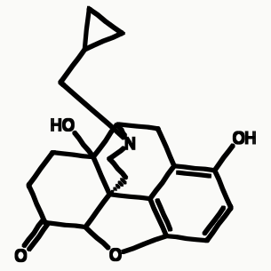 O=C1CCC2(O)C3Cc4c(O)ccc5c4[C@@]2(CCN3CC2CC2)C1O5